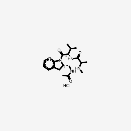 CNC(C)C(=O)N[C@H](C(=O)N1c2ncccc2C[C@H]1CNC(C)=O)C(C)C.Cl